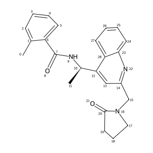 Cc1ccccc1C(=O)N[C@H](C)c1cc(CN2CCCC2=O)nc2ccccc12